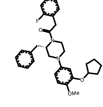 COc1ccc(N2CCN(C(=O)Cc3ccccc3F)[C@@H](Cc3ccccc3)C2)cc1OC1CCCC1